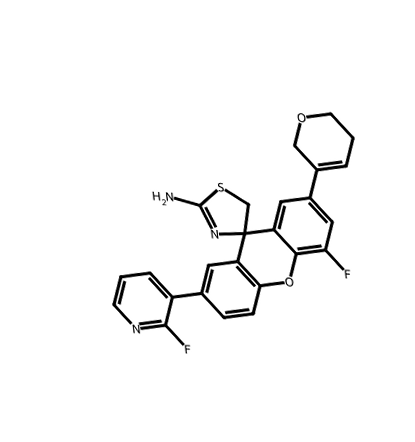 NC1=NC2(CS1)c1cc(-c3cccnc3F)ccc1Oc1c(F)cc(C3=CCCOC3)cc12